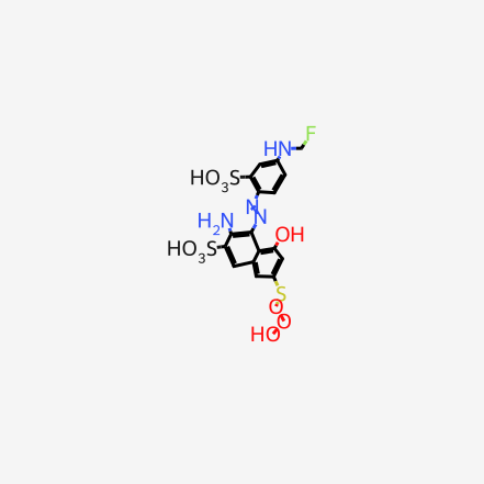 Nc1c(S(=O)(=O)O)cc2cc(SOOO)cc(O)c2c1/N=N/c1ccc(NCF)cc1S(=O)(=O)O